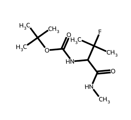 CNC(=O)C(NC(=O)OC(C)(C)C)C(C)(C)F